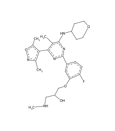 CNCC(O)COc1cc(-c2nc(NC3CCOCC3)c(C)c(-c3c(C)noc3C)n2)ccc1F